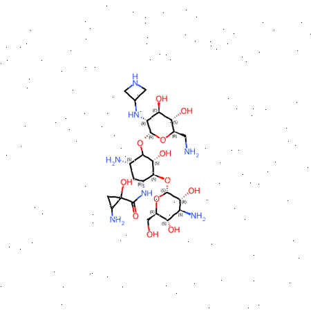 NC[C@H]1O[C@H](OC2[C@@H](N)C[C@@H](NC(=O)C3(O)CC3N)[C@H](O[C@H]3O[C@H](CO)[C@@H](O)[C@H](N)[C@H]3O)[C@H]2O)[C@H](NC2CNC2)[C@@H](O)[C@@H]1O